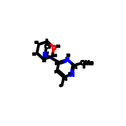 COc1nc(C)cc(N2CC3CCC2CO3)n1